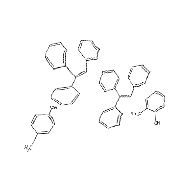 C(=C(c1ccccc1)c1ccccc1)c1ccccc1.C(=C(c1ccccc1)c1ccccc1)c1ccccc1.Cc1ccc(O)cc1.Cc1ccccc1O